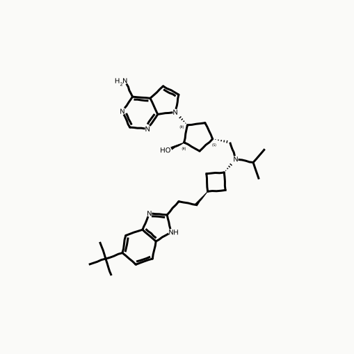 CC(C)N(C[C@@H]1C[C@@H](O)[C@H](n2ccc3c(N)ncnc32)C1)[C@H]1C[C@H](CCc2nc3cc(C(C)(C)C)ccc3[nH]2)C1